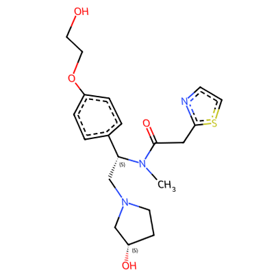 CN(C(=O)Cc1nccs1)[C@H](CN1CC[C@H](O)C1)c1ccc(OCCO)cc1